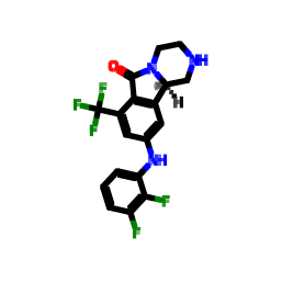 O=C1c2c(cc(Nc3cccc(F)c3F)cc2C(F)(F)F)[C@@H]2CNCCN12